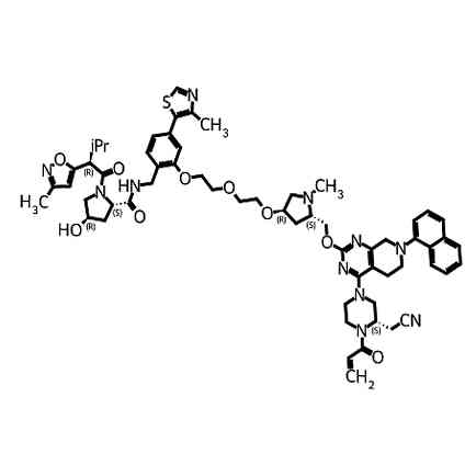 C=CC(=O)N1CCN(c2nc(OC[C@@H]3C[C@@H](OCCOCCOc4cc(-c5scnc5C)ccc4CNC(=O)[C@@H]4C[C@@H](O)CN4C(=O)[C@@H](c4cc(C)no4)C(C)C)CN3C)nc3c2CCN(c2cccc4ccccc24)C3)C[C@@H]1CC#N